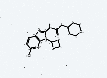 O=C(CC1CCOCC1)Nc1nc2ccc(Cl)nc2n1C1CCC1